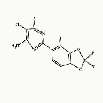 Cc1nc(-c2ccc3c(c2C)OC(F)(F)O3)cc(N)c1Cl